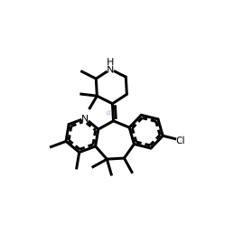 Cc1cnc2c(c1C)C(C)(C)C(C)c1cc(Cl)ccc1/C2=C1\CCNC(C)C1(C)C